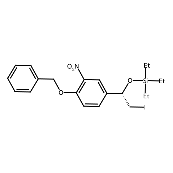 CC[Si](CC)(CC)O[C@H](CI)c1ccc(OCc2ccccc2)c([N+](=O)[O-])c1